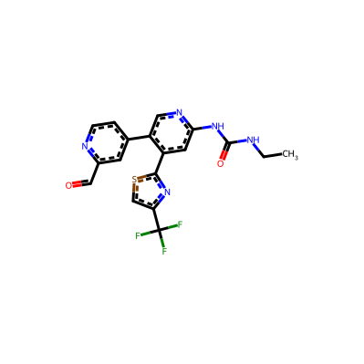 CCNC(=O)Nc1cc(-c2nc(C(F)(F)F)cs2)c(-c2ccnc(C=O)c2)cn1